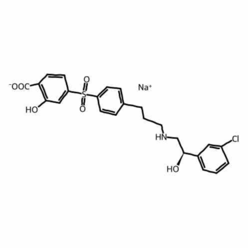 O=C([O-])c1ccc(S(=O)(=O)c2ccc(CCCNC[C@H](O)c3cccc(Cl)c3)cc2)cc1O.[Na+]